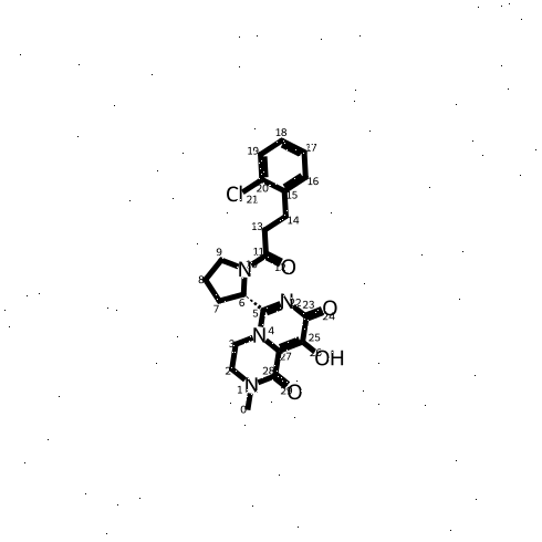 CN1CCn2c([C@@H]3CCCN3C(=O)CCc3ccccc3Cl)nc(=O)c(O)c2C1=O